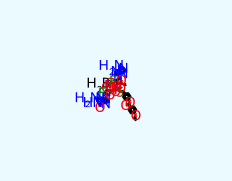 BP(=O)(OC)O[C@H]1[C@@H](F)[C@H](n2cnc3c(=O)[nH]c(N)nc32)O[C@@H]1CO[P@@](=O)(O[C@H]1[C@@H](F)[C@H](n2cnc3c(N)ncnc32)O[C@@H]1CC)SCc1ccc(OC(=O)c2ccc(OCC)cc2)cc1